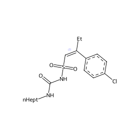 CCCCCCCNC(=O)NS(=O)(=O)/C=C(/CC)c1ccc(Cl)cc1